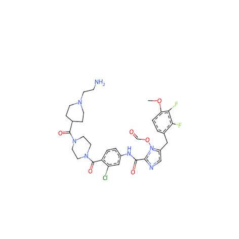 COc1ccc(Cc2cnc(C(=O)Nc3ccc(C(=O)N4CCN(C(=O)C5CCN(CCN)CC5)CC4)c(Cl)c3)n2OC=O)c(F)c1F